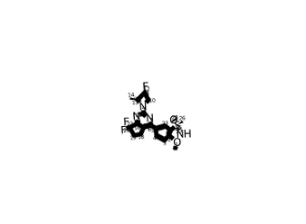 COc1ccc(-c2nc(N3C[C@H](F)[C@@H]3C)nc3c2CCC3(F)F)cc1[S@@](C)(=N)=O